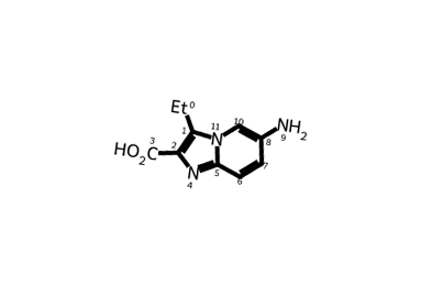 CCc1c(C(=O)O)nc2ccc(N)cn12